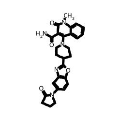 Cn1c(=O)c(C(N)=O)c(N2CCC(c3nc4cc(N5CCCC5=O)ccc4o3)CC2)c2ccccc21